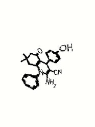 CC1(C)CC(=O)C2=C(C1)N(c1ccccc1)C(N)=C(C#N)C2c1ccc(O)cc1